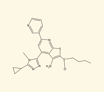 CCCC[S+]([O-])c1sc2nc(-c3cccnc3)cc(-c3nnc(C4CC4)n3C)c2c1N